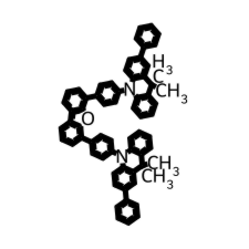 CC1(C)c2ccccc2N(c2ccc(-c3cccc4c3oc3c(-c5ccc(N6c7ccccc7C(C)(C)c7cc(-c8ccccc8)ccc76)cc5)cccc34)cc2)c2ccc(-c3ccccc3)cc21